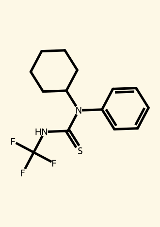 FC(F)(F)NC(=S)N(c1ccccc1)C1CCCCC1